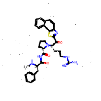 CN[C@H](Cc1ccccc1)C(=O)NC(=O)[C@@H]1CCCN1[C@@H](CCCNC(=N)N)C(=O)c1nc2ccc3ccccc3c2s1